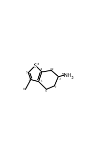 Cc1csc2c1CCC(N)C2